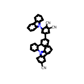 N#Cc1ccc2c(c1)c1ccccc1n2-c1ccccc1-c1cccc(-c2cc(C#N)c(C#N)c(-n3c4ccccc4c4ccccc43)c2)c1